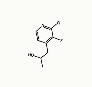 CC(O)Cc1ccnc(Cl)c1F